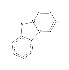 [C]1=[C]N2c3ccccc3SN2C=C1